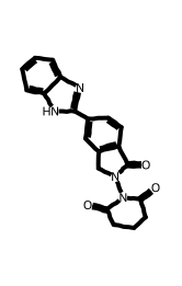 O=C1c2ccc(-c3nc4ccccc4[nH]3)cc2CN1N1C(=O)CCCC1=O